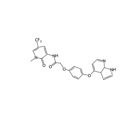 Cn1cc(C(F)(F)F)cc(NC(=O)COc2ccc(OC3=CC=NC4NC=CC34)cc2)c1=O